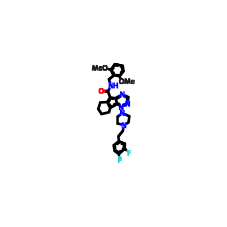 COc1cccc(OC)c1CNC(=O)c1c2ncnn(N3CCN(CCc4ccc(F)c(F)c4)CC3)c-2c2c1CCCC2